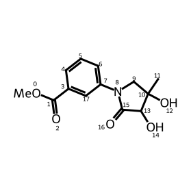 COC(=O)c1cccc(N2CC(C)(O)C(O)C2=O)c1